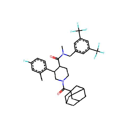 Cc1cc(F)ccc1C1CN(C(=O)C23CC4CC(CC(C4)C2)C3)CCC1C(=O)N(C)Cc1cc(C(F)(F)F)cc(C(F)(F)F)c1